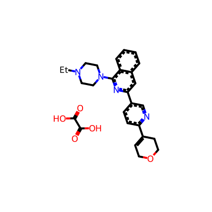 CCN1CCN(c2nc(-c3ccc(C4=CCOCC4)nc3)cc3ccccc23)CC1.O=C(O)C(=O)O